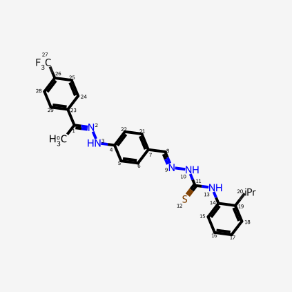 C/C(=N\Nc1ccc(/C=N/NC(=S)Nc2ccccc2C(C)C)cc1)c1ccc(C(F)(F)F)cc1